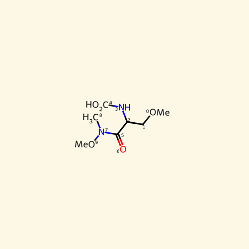 COCC(NC(=O)O)C(=O)N(C)OC